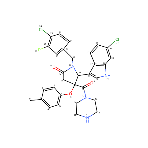 Cc1ccc(OC2(C(=O)N3CCNCC3)CC(=O)N(Cc3ccc(Cl)c(F)c3)C2c2c[nH]c3cc(Cl)ccc23)cc1